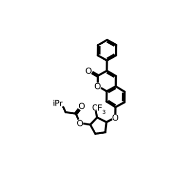 CC(C)CC(=O)OC1CCC(Oc2ccc3cc(-c4ccccc4)c(=O)oc3c2)C1C(F)(F)F